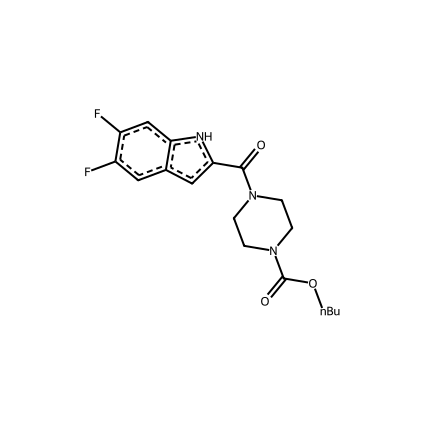 CCCCOC(=O)N1CCN(C(=O)c2cc3cc(F)c(F)cc3[nH]2)CC1